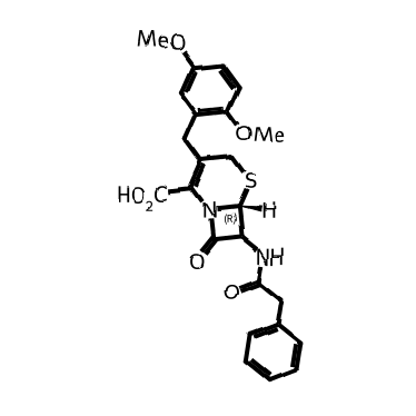 COc1ccc(OC)c(CC2=C(C(=O)O)N3C(=O)C(NC(=O)Cc4ccccc4)[C@H]3SC2)c1